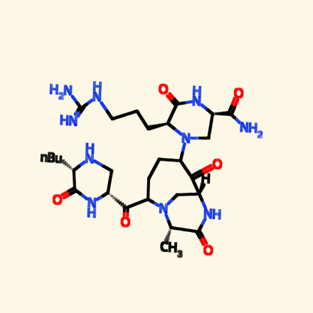 CCCC[C@@H]1NC[C@H](C(=O)C2CCC(N3C[C@H](C(N)=O)NC(=O)[C@@H]3CCCNC(=N)N)C(=O)[C@H]3CN2[C@@H](C)C(=O)N3)NC1=O